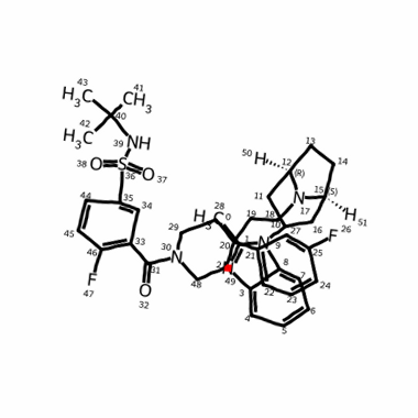 Cc1nc2ccccc2n1C1C[C@H]2CC[C@@H](C1)N2CCC1(c2cccc(F)c2)CCN(C(=O)c2cc(S(=O)(=O)NC(C)(C)C)ccc2F)CC1